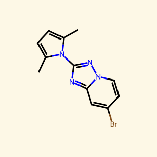 Cc1ccc(C)n1-c1nc2cc(Br)ccn2n1